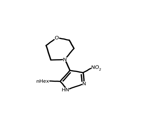 CCCCCCc1[nH]nc([N+](=O)[O-])c1N1CCOCC1